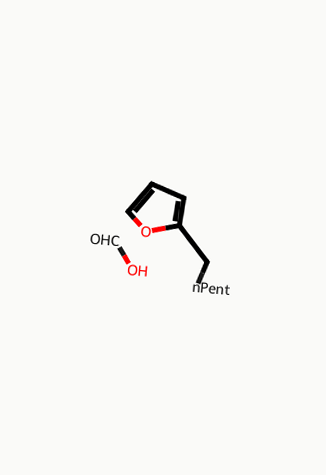 CCCCCCc1ccco1.O=CO